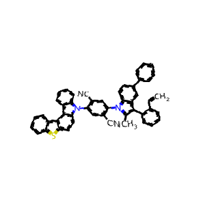 C=Cc1ccccc1-c1c(C)n(-c2cc(C#N)c(-n3c4ccccc4c4c5c(ccc43)sc3ccccc35)cc2C#N)c2ccc(-c3ccccc3)cc12